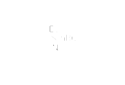 CCC=C(CCCC)N1CCCC1